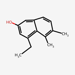 CCc1cc(O)cc2ccc(C)c(C)c12